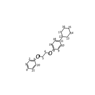 c1ccc(OCCOc2ccc(C3CCCCC3)cc2)cc1